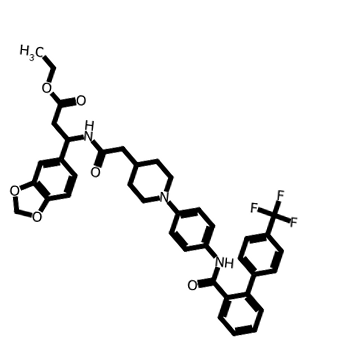 CCOC(=O)CC(NC(=O)CC1CCN(c2ccc(NC(=O)c3ccccc3-c3ccc(C(F)(F)F)cc3)cc2)CC1)c1ccc2c(c1)OCO2